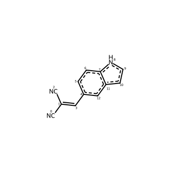 N#CC(C#N)=Cc1ccc2[nH]ccc2c1